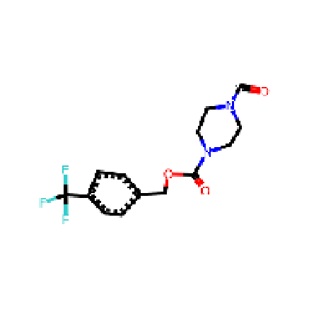 O=[C]N1CCN(C(=O)OCc2ccc(C(F)(F)F)cc2)CC1